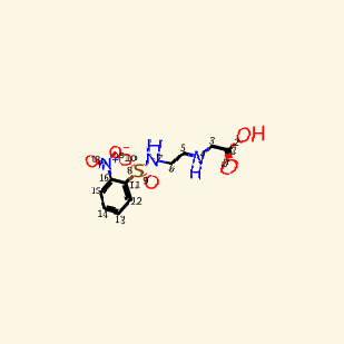 O=C(O)CNCCNS(=O)(=O)c1ccccc1[N+](=O)[O-]